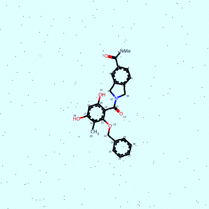 CNC(=O)c1ccc2c(c1)CN(C(=O)c1c(O)cc(O)c(C)c1OCc1ccccc1)C2